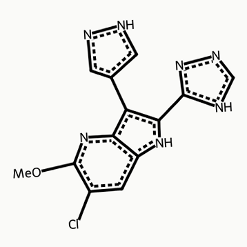 COc1nc2c(-c3cn[nH]c3)c(-c3nnc[nH]3)[nH]c2cc1Cl